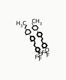 CCC[C@H]1CC[C@H](c2ccc(C=Cc3ccc(OC(F)F)cc3)cc2)CC1.CC[C@H]1CC[C@H](c2ccc(C=Cc3ccc(OC(F)F)cc3)cc2)CC1